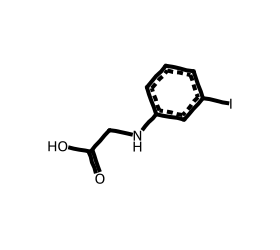 O=C(O)CNc1cccc(I)c1